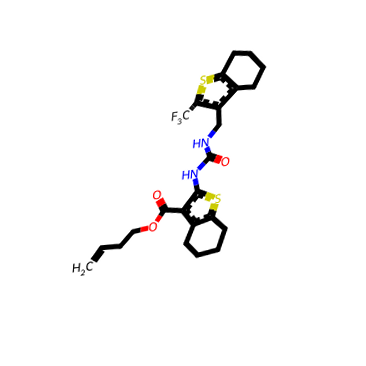 C=CCCOC(=O)c1c(NC(=O)NCc2c(C(F)(F)F)sc3c2CCCC3)sc2c1CCCC2